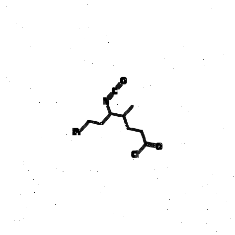 CC(C)CCC(N=C=O)C(C)CCC(=O)Cl